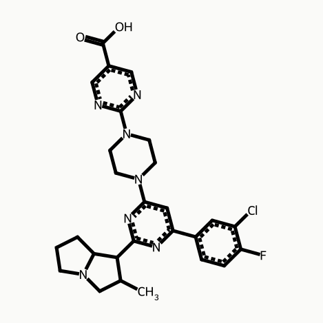 CC1CN2CCCC2C1c1nc(-c2ccc(F)c(Cl)c2)cc(N2CCN(c3ncc(C(=O)O)cn3)CC2)n1